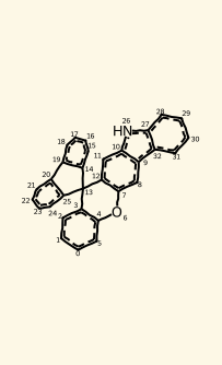 c1ccc2c(c1)Oc1cc3c(cc1C21c2ccccc2-c2ccccc21)[nH]c1ccccc13